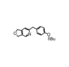 CCCCOc1ccc(Cc2cc3c(cn2)COC3)cc1